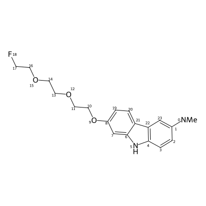 CNc1ccc2[nH]c3cc(OCCOCCOCCF)ccc3c2c1